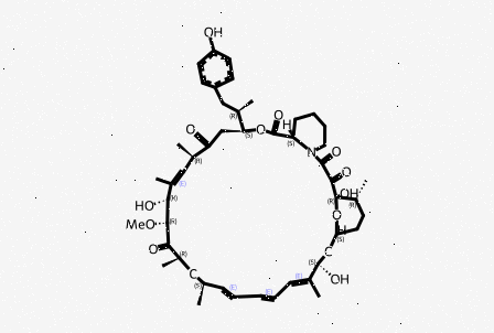 CO[C@H]1C(=O)[C@H](C)C[C@H](C)/C=C/C=C/C=C(\C)[C@@H](O)C[C@@H]2CC[C@@H](C)[C@@](O)(O2)C(=O)C(=O)N2CCCC[C@H]2C(=O)O[C@H]([C@H](C)Cc2ccc(O)cc2)CC(=O)[C@H](C)/C=C(\C)[C@H]1O